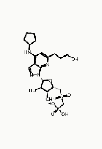 O=P(O)(O)CS(=O)(=O)C[C@H]1O[C@@H](n2ncc3c(NC4CCCC4)cc(CCCO)nc32)[C@H](O)[C@@H]1O